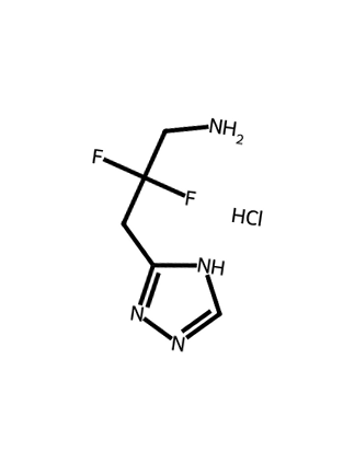 Cl.NCC(F)(F)Cc1nnc[nH]1